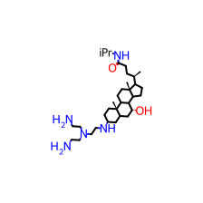 CC(C)NC(=O)CC[C@@H](C)C1CCC2C3C(CC[C@@]21C)[C@@]1(C)CC[C@H](NCCN(CCN)CCN)CC1C[C@H]3O